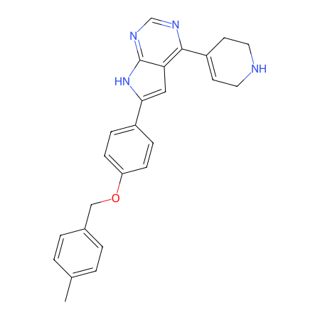 Cc1ccc(COc2ccc(-c3cc4c(C5=CCNCC5)ncnc4[nH]3)cc2)cc1